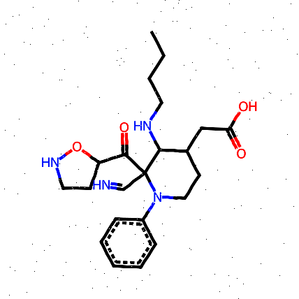 CCCCNC1C(CC(=O)O)CCN(c2ccccc2)C1(C=N)C(=O)C1CCNO1